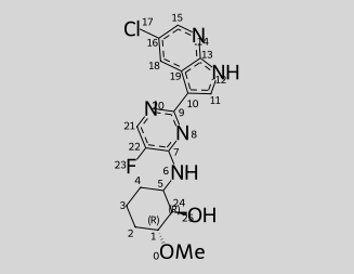 CO[C@@H]1CCCC(Nc2nc(-c3c[nH]c4ncc(Cl)cc34)ncc2F)[C@H]1O